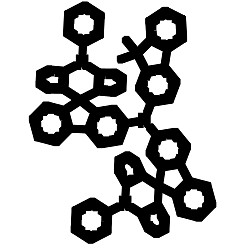 CC1(C)c2ccccc2-c2ccc(N(c3ccc4c(c3)C3(c5ccccc5-4)c4ccccc4N(c4ccccc4)c4ccccc43)c3ccc4c(c3)C3(c5ccccc5-4)c4ccccc4N(c4ccccc4)c4ccccc43)cc21